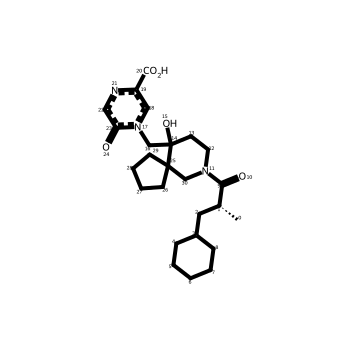 C[C@H](CC1CCCCC1)C(=O)N1CCC(O)(Cn2cc(C(=O)O)ncc2=O)C2(CCCC2)C1